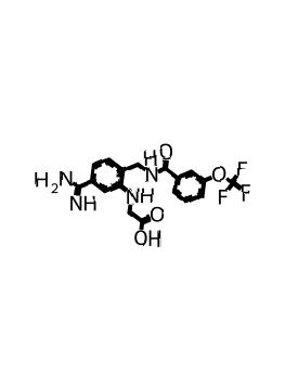 N=C(N)c1ccc(CNC(=O)c2cccc(OC(F)(F)F)c2)c(NCC(=O)O)c1